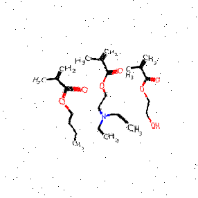 C=C(C)C(=O)OCCCC.C=C(C)C(=O)OCCN(CC)CC.C=C(C)C(=O)OCCO